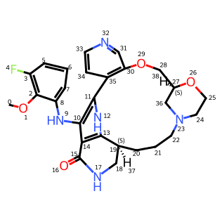 COc1c(F)cccc1Nc1c2[nH]c3c1C(=O)NC[C@@H]3CCCN1CCO[C@H](COc3cnccc3-2)C1